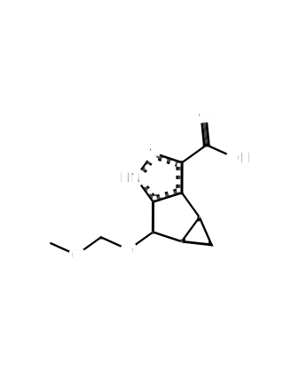 COCOC1c2[nH]nc(C(=O)O)c2C2CC21